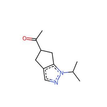 CC(=O)C1Cc2cnn(C(C)C)c2C1